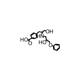 O=C(O)c1ccc(C[C@@H](CO)NC[C@H](O)COc2ccccc2)cc1